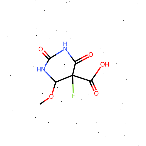 COC1NC(=O)NC(=O)C1(F)C(=O)O